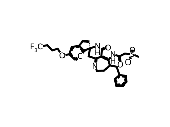 CS(=O)(=O)CC(=O)NC1=C2C(=O)N[C@@]3(CCc4cc(OCCCC(F)(F)F)ccc43)CC2=NCCC1Cc1ccccc1